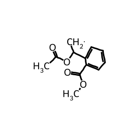 [CH2]C(OC(C)=O)c1ccccc1C(=O)OC